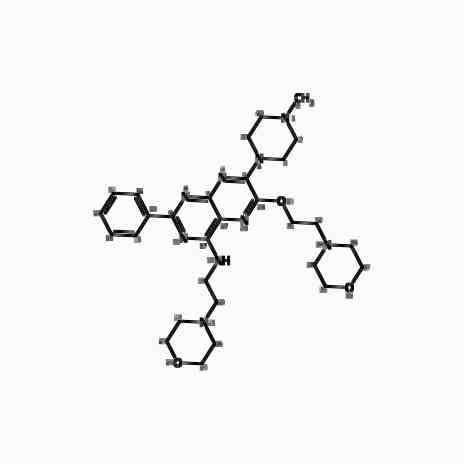 CN1CCN(c2nc3nc(-c4ccccc4)nc(NCCN4CCOCC4)c3nc2OCCN2CCOCC2)CC1